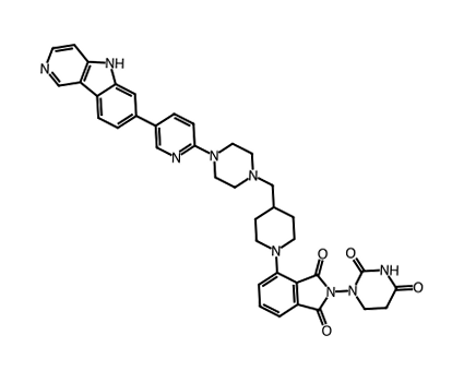 O=C1CCN(N2C(=O)c3cccc(N4CCC(CN5CCN(c6ccc(-c7ccc8c(c7)[nH]c7ccncc78)cn6)CC5)CC4)c3C2=O)C(=O)N1